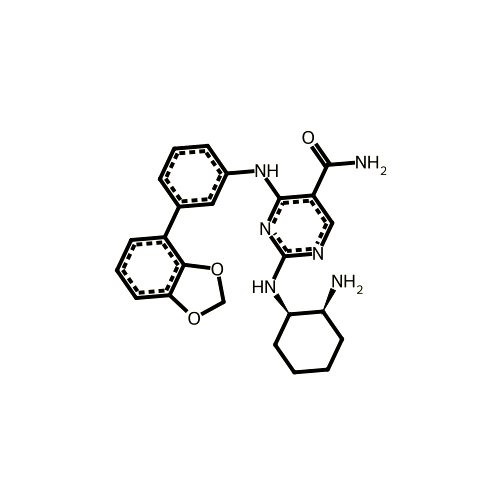 NC(=O)c1cnc(N[C@@H]2CCCC[C@@H]2N)nc1Nc1cccc(-c2cccc3c2OCO3)c1